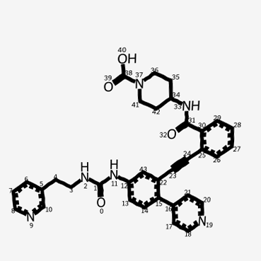 O=C(NCCc1cccnc1)Nc1ccc(-c2ccncc2)c(C#Cc2ccccc2C(=O)NC2CCN(C(=O)O)CC2)c1